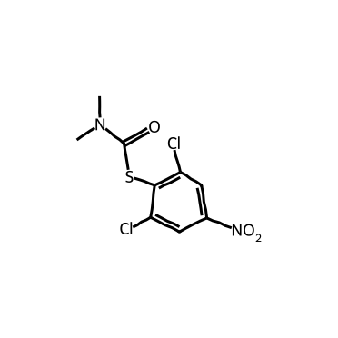 CN(C)C(=O)Sc1c(Cl)cc([N+](=O)[O-])cc1Cl